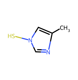 Cc1cn(S)cn1